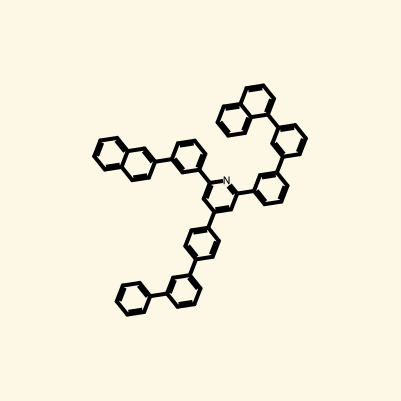 c1ccc(-c2cccc(-c3ccc(-c4cc(-c5cccc(-c6cccc(-c7cccc8ccccc78)c6)c5)nc(-c5cccc(-c6ccc7ccccc7c6)c5)c4)cc3)c2)cc1